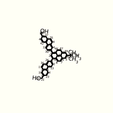 CC(C)(C)c1cc2ccc3c(-c4ccc5c(ccc6cc(CO)ccc65)c4)cc(-c4ccc5c(ccc6cc(CO)ccc65)c4)c4ccc(c1)c2c34